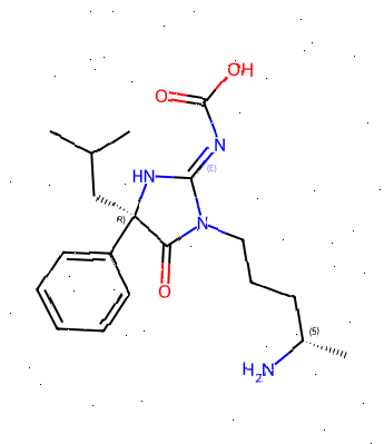 CC(C)C[C@]1(c2ccccc2)N/C(=N\C(=O)O)N(CCC[C@H](C)N)C1=O